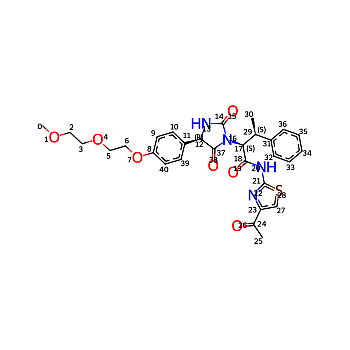 COCCOCCOc1ccc([C@H]2NC(=O)N([C@H](C(=O)Nc3nc(C(C)=O)cs3)[C@@H](C)c3ccccc3)C2=O)cc1